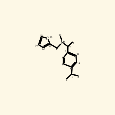 CC(C)c1ccc(C(C)N(C)Cc2ccco2)cc1